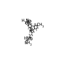 Cc1ccc(C2CC(CCC(=O)NCCN)=NN2c2ccc(S(N)(=O)=O)cc2)cc1